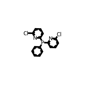 Clc1cccc(P(c2ccccc2)c2cccc(Cl)n2)n1